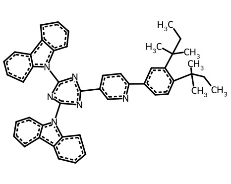 CCC(C)(C)c1ccc(-c2ccc(-c3nc(-n4c5ccccc5c5ccccc54)nc(-n4c5ccccc5c5ccccc54)n3)cn2)cc1C(C)(C)CC